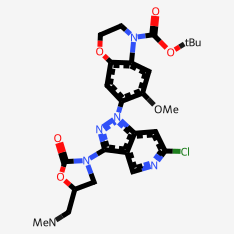 CNCC1CN(c2nn(-c3cc4c(cc3OC)N(C(=O)OC(C)(C)C)CCO4)c3cc(Cl)ncc23)C(=O)O1